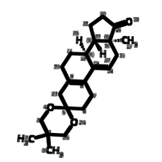 CC1(C)COC2(CCC3=C(CC[C@@H]4C3=CC[C@]3(C)C(=O)CC[C@@H]43)C2)OC1